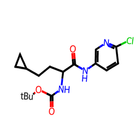 CC(C)(C)OC(=O)NC(CCC1CC1)C(=O)Nc1ccc(Cl)nc1